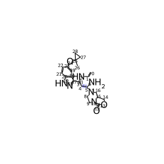 C=CN[C@H](/C=C(\N)N1CCN2C(=O)OCC2C1)c1n[nH]c2ccc(OC3(C)CC3)cc12